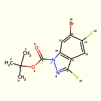 CC(C)(C)OC(=O)n1nc(F)c2cc(F)c(Br)cc21